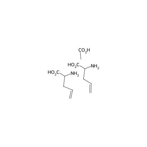 C=CCC(N)C(=O)O.C=CCC(N)C(=O)O.CC(=O)O